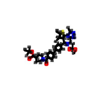 COC(=O)C[C@@H]1N=C(c2ccc(-c3ccc(C(=O)N4CCC(C(=O)OC(C)(C)C)CC4)cc3)cc2)c2c(sc(C)c2C)-n2c(C)nnc21